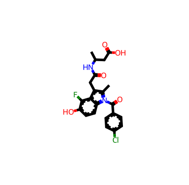 Cc1c(CC(=O)NC(C)CC(=O)O)c2c(F)c(O)ccc2n1C(=O)c1ccc(Cl)cc1